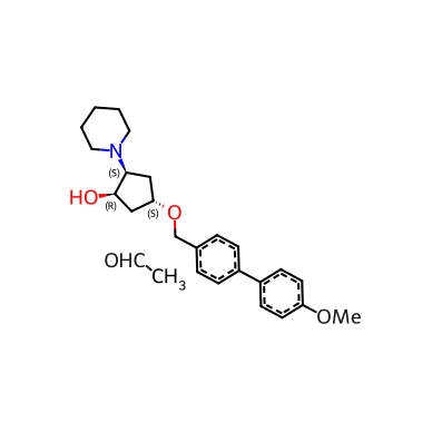 CC=O.COc1ccc(-c2ccc(CO[C@@H]3C[C@@H](O)[C@@H](N4CCCCC4)C3)cc2)cc1